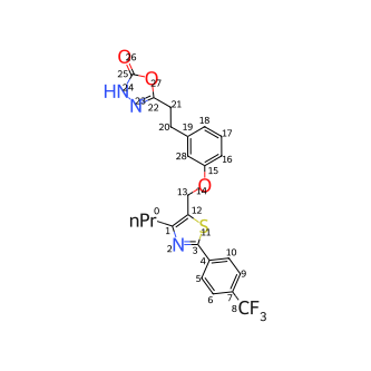 CCCc1nc(-c2ccc(C(F)(F)F)cc2)sc1COc1cccc(CCc2n[nH]c(=O)o2)c1